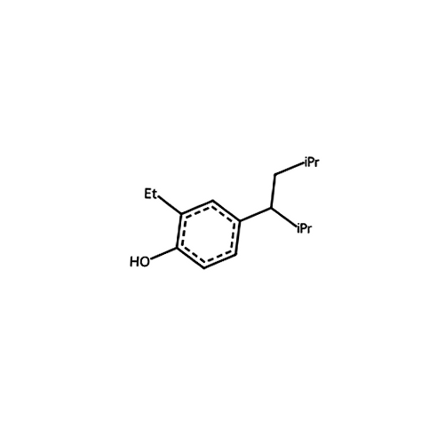 CCc1cc(C(CC(C)C)C(C)C)ccc1O